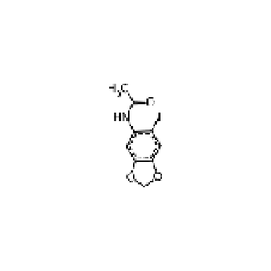 CC(=O)Nc1cc2c(cc1I)OCO2